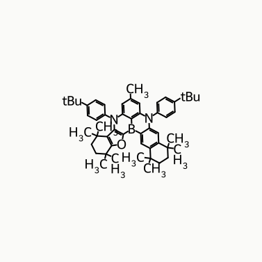 Cc1cc2c3c(c1)N(c1ccc(C(C)(C)C)cc1)c1c(oc4c1C(C)(C)CCC4(C)C)B3c1cc3c(cc1N2c1ccc(C(C)(C)C)cc1)C(C)(C)CCC3(C)C